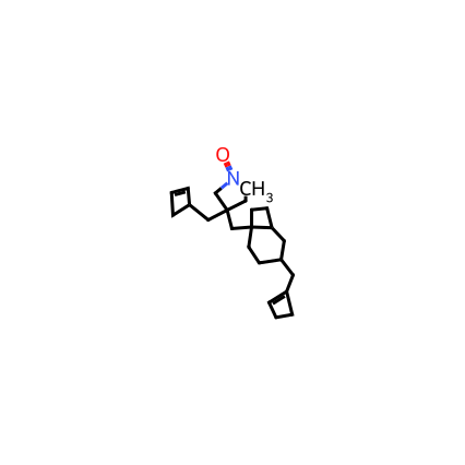 CCC(CN=O)(CC1C=CC1)CC12CCC(CC3=CCC3)CC1CC2